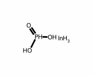 O=[PH](O)O.[InH3]